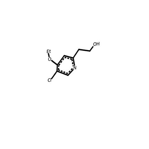 CCOc1cc(CCO)ncc1Cl